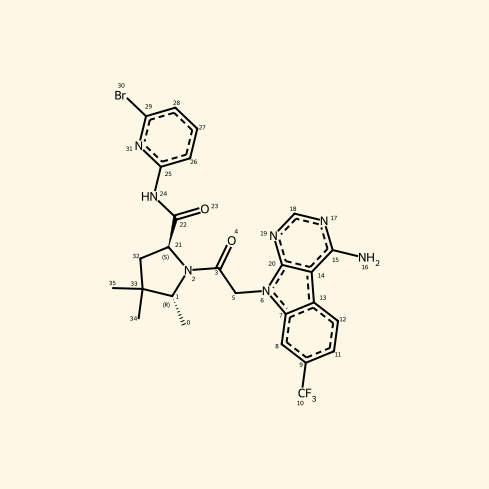 C[C@H]1N(C(=O)Cn2c3cc(C(F)(F)F)ccc3c3c(N)ncnc32)[C@H](C(=O)Nc2cccc(Br)n2)CC1(C)C